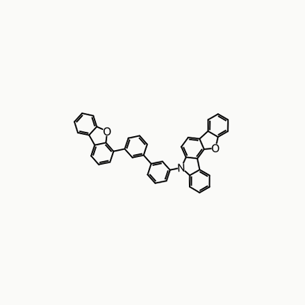 c1cc(-c2cccc(-n3c4ccccc4c4c5oc6ccccc6c5ccc43)c2)cc(-c2cccc3c2oc2ccccc23)c1